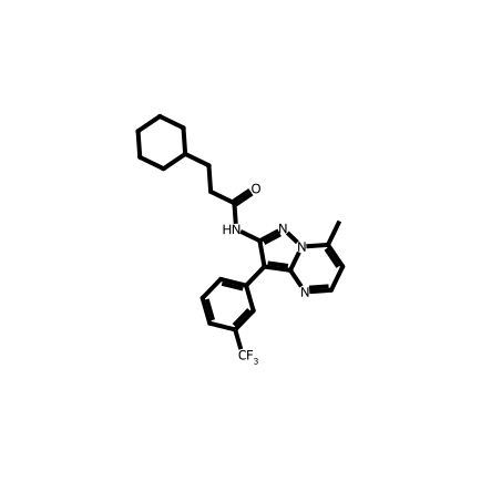 Cc1ccnc2c(-c3cccc(C(F)(F)F)c3)c(NC(=O)CCC3CCCCC3)nn12